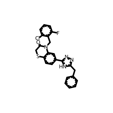 O=C1CSc2ccc(-c3nnc(Cc4ccccc4)[nH]3)cc2N1Cc1c(F)cccc1Cl